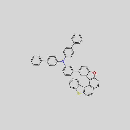 c1ccc(-c2ccc(N(c3ccc(-c4ccccc4)cc3)c3cccc(-c4ccc5oc6ccc7ccc8sc9ccccc9c8c7c6c5c4)c3)cc2)cc1